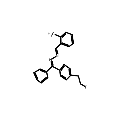 Cc1ccccc1C=NN=C(c1ccccc1)c1ccc(CCF)cc1